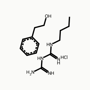 CCCCNC(=N)NC(=N)N.Cl.OCCc1ccccc1